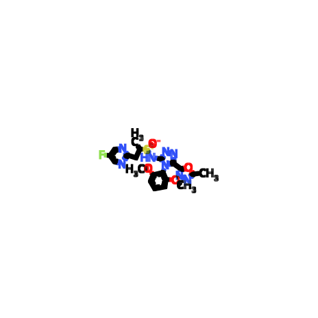 COc1cccc(OC)c1-n1c(N[S+]([O-])C(C)Cc2ncc(F)cn2)nnc1-c1nnc(C)o1